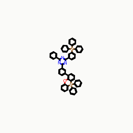 c1ccc(-c2nc(-c3cccc(-c4cccc5c4Oc4ccccc4S5(c4ccccc4)c4ccccc4)c3)nc(-c3cccc(S(c4ccccc4)(c4ccccc4)c4ccccc4)c3)n2)cc1